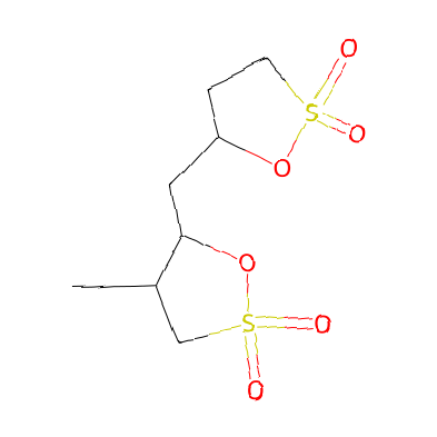 CC1CS(=O)(=O)OC1CC1CCS(=O)(=O)O1